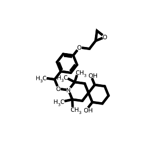 CC(ON1C(C)(C)CC2(CC1(C)C)C(O)CCCC2O)c1ccc(OCC2CO2)cc1